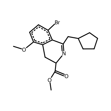 COC(=O)C1Cc2c(OC)ccc(Br)c2C(CC2CCCC2)=N1